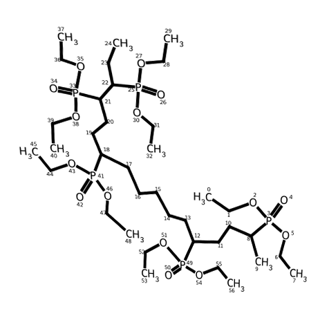 CCOP(=O)(OCC)C(C)CCC(CCCCCC(CCC(C(CC)P(=O)(OCC)OCC)P(=O)(OCC)OCC)P(=O)(OCC)OCC)P(=O)(OCC)OCC